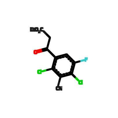 CCOC(=O)CC(=O)c1cc(F)c(Cl)c(C#N)c1Cl